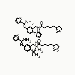 CN(C)c1ccc(N=C(N)c2cccs2)cc1CNC(=O)CCCCC1CCSS1.NC(=Nc1ccc(-n2cccc2)c(CNC(=O)CCCCC2CCSS2)c1)c1cccs1